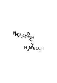 [N-]=[N+]=NCCOOC(=O)NCCCC[C@H](N)C(=O)O